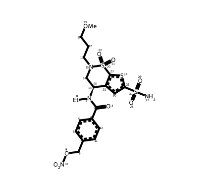 CCN(C(=O)c1ccc(CO[N+](=O)[O-])cc1)[C@H]1CN(CCCOC)S(=O)(=O)c2sc(S(N)(=O)=O)cc21